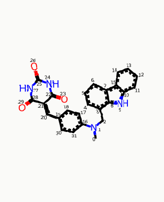 CN(Cc1cccc2c1[nH]c1ccccc12)c1ccc(C=C2C(=O)NC(=O)NC2=O)cc1